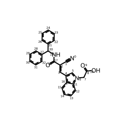 N#CC(=Cc1cn(CC(=O)O)c2ccccc12)C(=O)NC(c1ccccc1)c1ccccc1